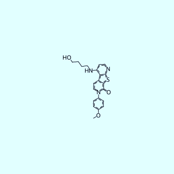 COc1ccc(-n2ccc3c(sc4nccc(NCCCCO)c43)c2=O)cc1